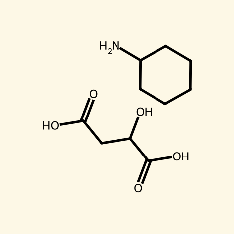 NC1CCCCC1.O=C(O)CC(O)C(=O)O